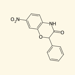 O=C1Nc2ccc([N+](=O)[O-])cc2OC1c1ccccc1